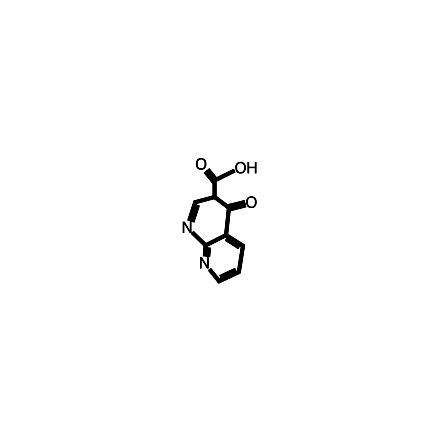 O=C(O)C1C=Nc2ncccc2C1=O